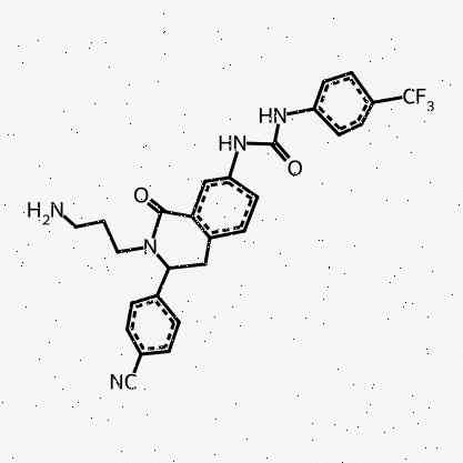 N#Cc1ccc(C2Cc3ccc(NC(=O)Nc4ccc(C(F)(F)F)cc4)cc3C(=O)N2CCCN)cc1